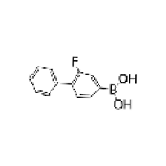 OB(O)c1ccc(-c2ccccc2)c(F)c1